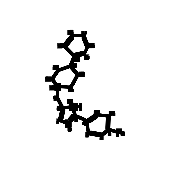 Fc1ccc(-c2ncc(CN3CCC(c4ccccc4)CC3)[nH]2)cc1